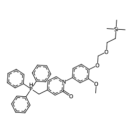 COc1cc(-n2ccc(C[PH](c3ccccc3)(c3ccccc3)c3ccccc3)cc2=O)ccc1OCOCC[Si](C)(C)C